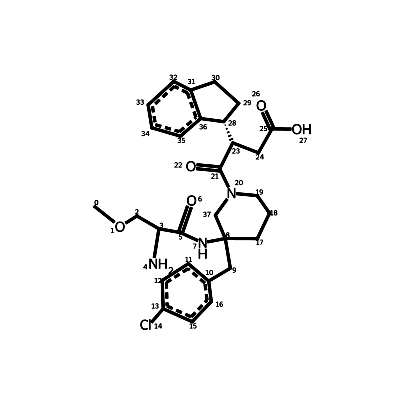 COCC(N)C(=O)NC1(Cc2ccc(Cl)cc2)CCCN(C(=O)C(CC(=O)O)[C@H]2CCc3ccccc32)C1